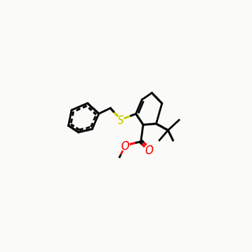 COC(=O)C1C(SCc2ccccc2)=CCCC1C(C)(C)C